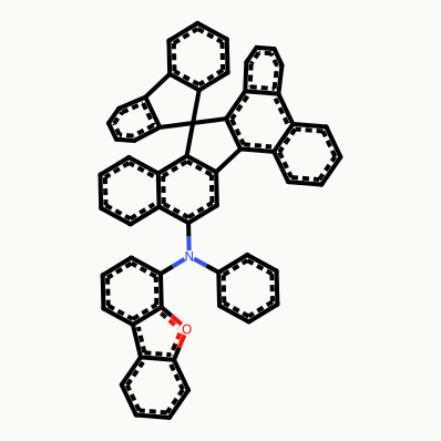 c1ccc(N(c2cc3c(c4ccccc24)C2(c4ccccc4-c4ccccc42)c2c-3c3ccccc3c3ccccc23)c2cccc3c2oc2ccccc23)cc1